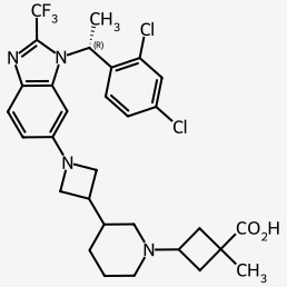 C[C@H](c1ccc(Cl)cc1Cl)n1c(C(F)(F)F)nc2ccc(N3CC(C4CCCN(C5CC(C)(C(=O)O)C5)C4)C3)cc21